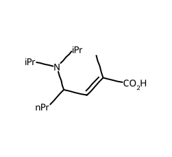 CCCC(C=C(C)C(=O)O)N(C(C)C)C(C)C